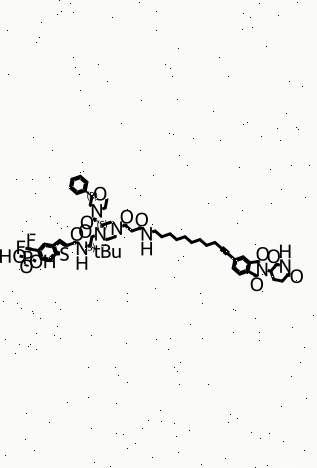 CC(C)(C)[C@H](NC(=O)c1cc2cc(C(F)(F)P(=O)(O)O)ccc2s1)C(=O)N1CCN(C(=O)CC(=O)NCCCCCCCCCC#Cc2ccc3c(c2)C(=O)N(C2CCC(=O)NC2=O)C3=O)C[C@H]1C(=O)N1CCO[C@H](c2ccccc2)C1